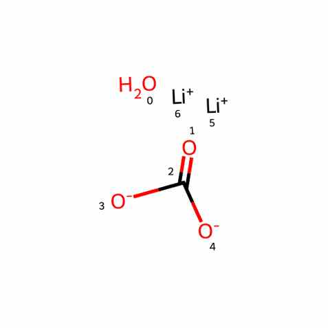 O.O=C([O-])[O-].[Li+].[Li+]